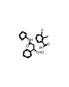 CC(C)C(=O)c1cccc(F)c1F.O=CC(CC(=O)Nc1ccccc1)c1ccccc1